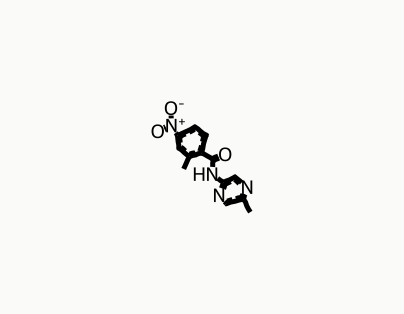 Cc1cnc(NC(=O)c2ccc([N+](=O)[O-])cc2C)cn1